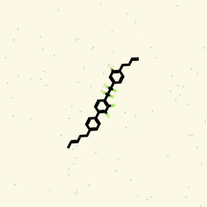 C=CCCc1ccc(C(F)(F)C(F)(F)c2ccc(-c3ccc(CC/C=C/C)cc3)c(F)c2F)cc1F